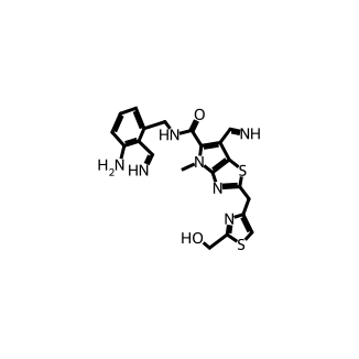 Cn1c(C(=O)NCc2cccc(N)c2C=N)c(C=N)c2sc(Cc3csc(CO)n3)nc21